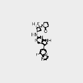 C[C@]1(N2CCCC2=O)C[C@@H](Nc2ncc3c(-c4cc(F)c5nccn5c4)c[nH]c3n2)C1